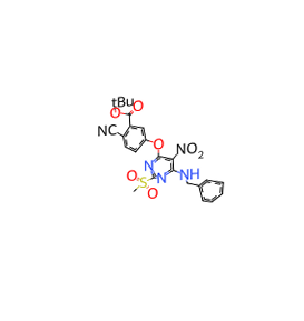 CC(C)(C)OC(=O)c1cc(Oc2nc(S(C)(=O)=O)nc(NCc3ccccc3)c2[N+](=O)[O-])ccc1C#N